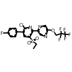 CCS(=O)(=O)c1cc(-c2ccc(F)cc2)c(Cl)nc1-c1cnc(OCC(F)(F)C(F)(F)F)cn1